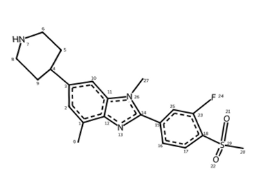 Cc1cc(C2CCNCC2)cc2c1nc(-c1ccc(S(C)(=O)=O)c(F)c1)n2C